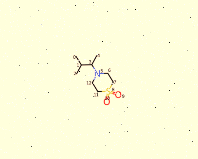 CC(C)C(C)N1CCS(=O)(=O)CC1